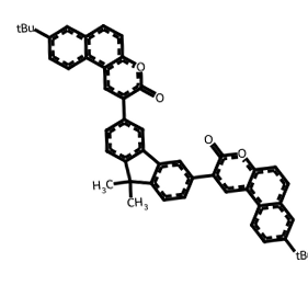 CC(C)(C)c1ccc2c(ccc3oc(=O)c(-c4ccc5c(c4)-c4cc(-c6cc7c(ccc8cc(C(C)(C)C)ccc87)oc6=O)ccc4C5(C)C)cc32)c1